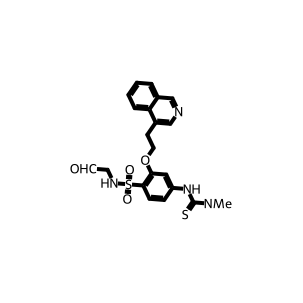 CNC(=S)Nc1ccc(S(=O)(=O)NCC=O)c(OCCc2cncc3ccccc23)c1